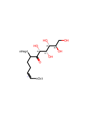 CCCCCCCC/C=C\CCC(CCCCCCC)C(=O)[C@H](O)[C@@H](O)[C@H](O)[C@H](O)CO